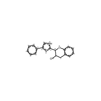 ClC1Cc2cc[c]cc2OC1c1nc(-c2ccccc2)c[nH]1